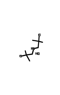 CC(C)(Cl)CNCC(C)(C)Cl.Cl